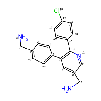 NCc1ccc(-c2cc(CN)cnc2-c2ccc(Cl)cc2)cc1